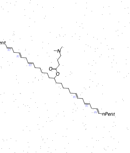 CCCCC/C=C/C/C=C/C/C=C/CCCCCC(CCCCC/C=C/C/C=C/C/C=C/CCCCC)OC(=O)CCCN(C)C